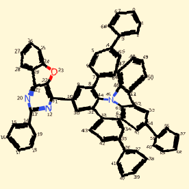 c1ccc(-c2ccc(-c3cc(-c4nc(-c5ccccc5)nc5c4oc4ccccc45)cc(-c4ccc(-c5ccccc5)cc4)c3-n3c4ccccc4c4cc(-c5ccccc5)ccc43)cc2)cc1